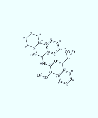 CCCC(NC(=O)C(OCC)c1ccccc1CCC(=O)OCC)c1ccccc1N1CCCCC1